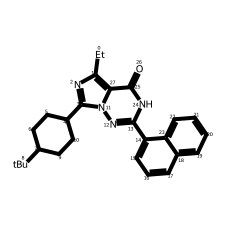 CCc1nc(C2CCC(C(C)(C)C)CC2)n2nc(-c3cccc4ccccc34)[nH]c(=O)c12